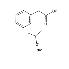 CC(C)[O-].O=C(O)Cc1ccccc1.[Na+]